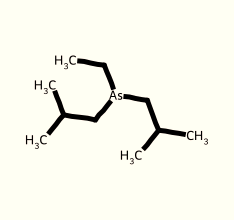 CC[As](CC(C)C)CC(C)C